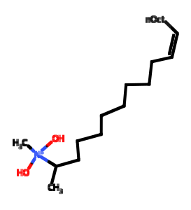 CCCCCCCC/C=C\CCCCCCCCC(C)[N+](C)(O)O